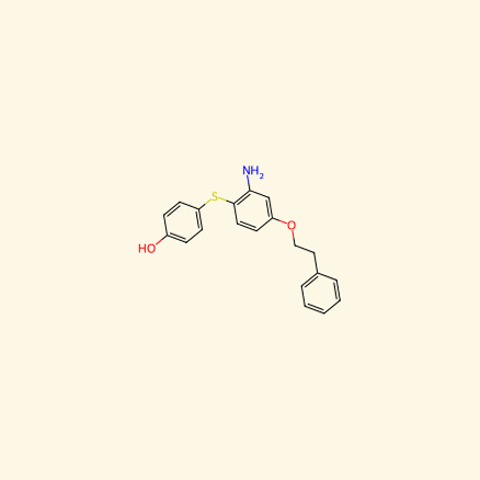 Nc1cc(OCCc2ccccc2)ccc1Sc1ccc(O)cc1